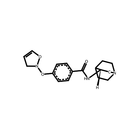 O=C(N[C@H]1CN2CCC1CC2)c1ccc(ON2CC=CO2)cc1